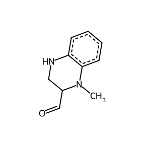 CN1c2ccccc2NCC1C=O